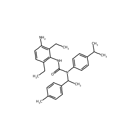 CCc1ccc(N)c(CC)c1NC(=O)N(c1ccc(C(C)C)cc1)C(C)c1ccc(C)cc1